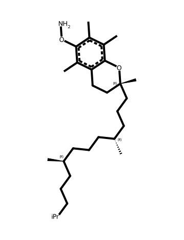 Cc1c(C)c2c(c(C)c1ON)CC[C@@](C)(CCC[C@H](C)CCC[C@H](C)CCCC(C)C)O2